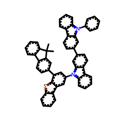 CC1(C)c2ccccc2-c2ccc(-c3cc(-n4c5ccccc5c5ccc(-c6ccc7c8ccccc8n(-c8ccccc8)c7c6)cc54)cc4c3sc3ccccc34)cc21